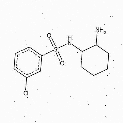 NC1CCCCC1NS(=O)(=O)c1cccc(Cl)c1